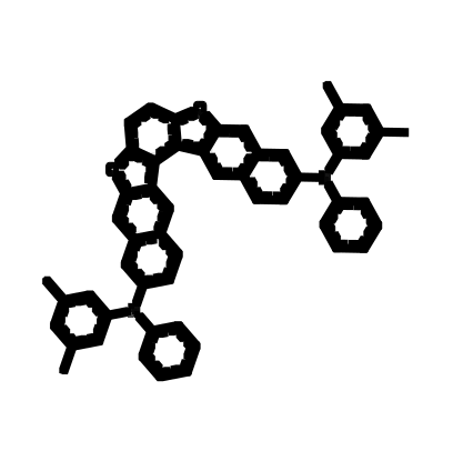 Cc1cc(C)cc(N(c2ccccc2)c2ccc3cc4c(cc3c2)oc2ccc3oc5cc6cc(N(c7ccccc7)c7cc(C)cc(C)c7)ccc6cc5c3c24)c1